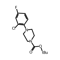 CC(C)(C)OC(=O)N1CCN(c2ccc(F)cc2Cl)CC1